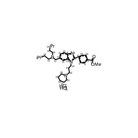 COC(=O)c1ccc(-c2nc3ccc(CN(CCC(C)C)CCC(C)C)cc3n2CCCN2CCCCC2)cc1.Cl.Cl